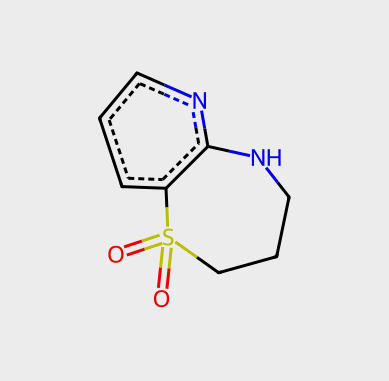 O=S1(=O)CCCNc2ncccc21